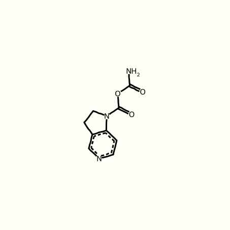 NC(=O)OC(=O)N1CCc2cnccc21